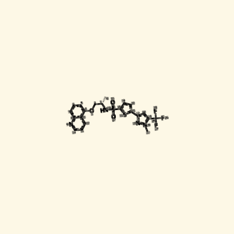 C[C@@H](COc1cccc2ncccc12)NS(=O)(=O)c1ccc(-c2cc(C(F)(F)F)n(C)n2)s1